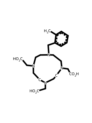 Cc1ccccc1CN1CCN(CC(=O)O)CCN(CC(=O)O)CCN(CC(=O)O)CC1